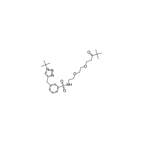 CC(C)(C)C(=O)CCOCCOCCNS(=O)(=O)c1cccc(Cc2cn(C(C)(C)C)nn2)c1